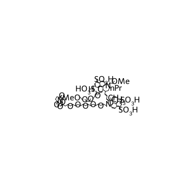 CCCC1CC(/C=C/C=C2/N(CCOCCOCCOCCOCCOCCC(=O)ON3C(=O)CCC3=O)c3ccc4c(S(=O)(=O)O)cc(S(=O)(=O)O)cc4c3C2(C)C)C(C)(CCOCCOCCOCCOC)c2c(ccc3c(S(=O)(=O)O)cc(S(=O)(=O)O)cc23)N1CCOC